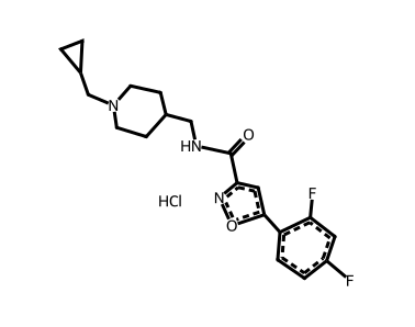 Cl.O=C(NCC1CCN(CC2CC2)CC1)c1cc(-c2ccc(F)cc2F)on1